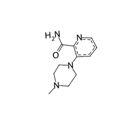 CN1CCN(c2cccnc2C(N)=O)CC1